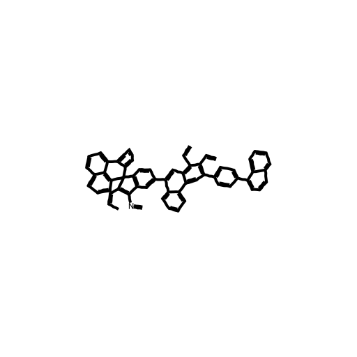 C=Cc1c(-c2ccc(-c3cccc4ccccc34)cc2)cc2c(cc(-c3ccc4c(c3)C(N=C)=C(/C=C\C)C43c4ccccc4-c4cccc5cccc3c45)c3ccccc32)c1C=C